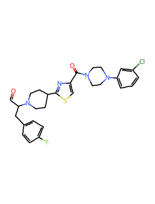 O=CC(Cc1ccc(F)cc1)N1CCC(c2nc(C(=O)N3CCN(c4cccc(Cl)c4)CC3)cs2)CC1